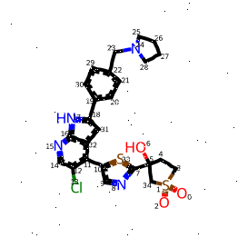 O=S1(=O)CCC(O)(c2ncc(-c3c(Cl)cnc4[nH]c(-c5ccc(CN6CCCC6)cc5)cc34)s2)C1